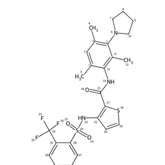 Cc1cc(C)c(N2CCCC2)c(C)c1NC(=O)c1sccc1NS(=O)(=O)c1ccccc1C(F)(F)F